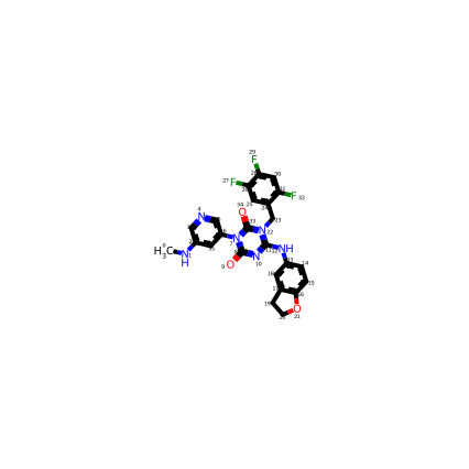 CNc1cncc(-n2c(=O)nc(Nc3ccc4c(c3)CCO4)n(Cc3cc(F)c(F)cc3F)c2=O)c1